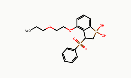 CC(=O)OCCOCCOc1cccc2c1C(S(=O)(=O)c1ccccc1)CS2(O)O